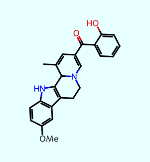 COc1ccc2[nH]c3c(c2c1)CCN1C=C(C(=O)c2ccccc2O)C=C(C)C31